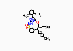 Cc1cccc(C)c1-c1cc2nc(n1)NS(=O)(=O)c1cccc(c1)C(C1CC3(CC(C)C3)C1)[C@H](CCC(C)(C)C)CO2